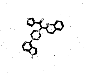 O=C(c1ccsc1)C(C1CCc2ccccc2N1)N1CCN(c2cccc3[nH]ccc23)CC1